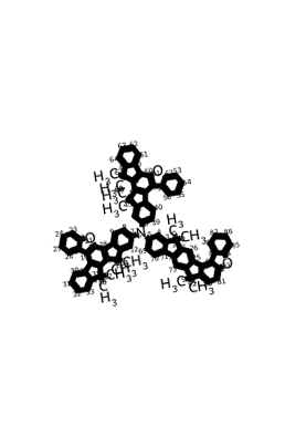 CC1(C)c2cc(N(c3ccc4c(c3)C(C)(C)c3c5c(c6c(oc7ccccc76)c3-4)-c3ccccc3C5(C)C)c3ccc4c(c3)C(C)(C)c3c5c(c6oc7ccccc7c6c3-4)-c3ccccc3C5(C)C)ccc2-c2cc3c(cc21)-c1c(ccc2oc4ccccc4c12)C3(C)C